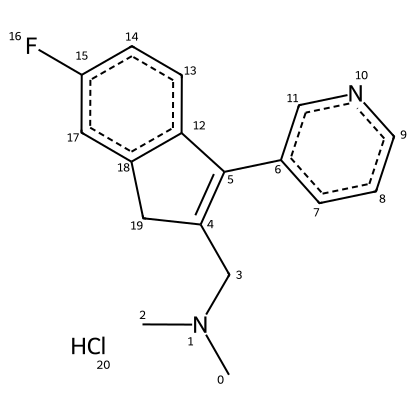 CN(C)CC1=C(c2cccnc2)c2ccc(F)cc2C1.Cl